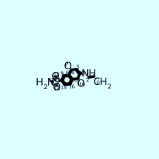 C=CCNC1=CC(=O)c2cc(S(N)(=O)=O)ccc2C1=O